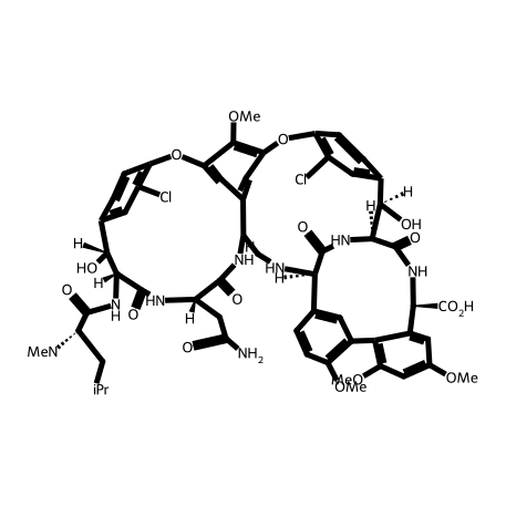 CN[C@@H](CC(C)C)C(=O)N[C@H]1C(=O)N[C@@H](CC(N)=O)C(=O)N[C@H]2CN[C@H]3C(=O)N[C@H](C(=O)N[C@@H](C(=O)O)c4cc(OC)cc(OC)c4-c4cc3ccc4OC)[C@H](O)c3ccc(c(Cl)c3)Oc3cc2cc(c3OC)Oc2ccc(cc2Cl)[C@H]1O